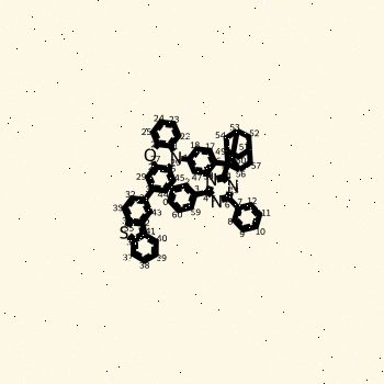 c1ccc(-c2nc(-c3ccccc3)nc(C3(c4ccc(N5c6ccccc6Oc6cc(-c7ccc8sc9ccccc9c8c7)ccc65)cc4)C4CC5CC(C4)CC3C5)n2)cc1